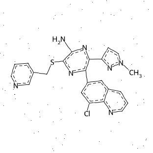 Cn1ccc(-c2nc(N)c(SCc3cccnc3)nc2-c2cc(Cl)c3ncccc3c2)n1